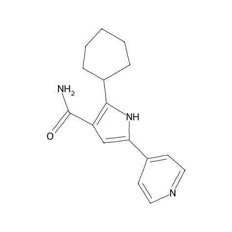 NC(=O)c1cc(-c2ccncc2)[nH]c1C1CCCCC1